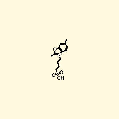 Cc1ccc2c(c1)oc(C)[n+]2CCCCS(=O)(=O)O